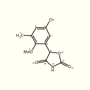 COc1c(C)cc(Cl)cc1C1OC(=O)NC1=O